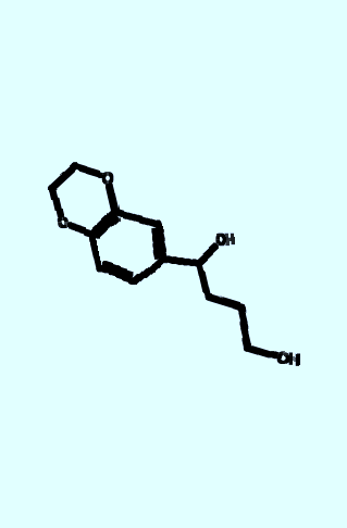 OCCCC(O)c1ccc2c(c1)OCCO2